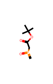 C=P(=O)CC(=O)OC(C)(C)C